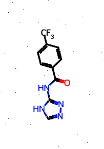 O=C(Nc1nnc[nH]1)c1ccc(C(F)(F)F)cc1